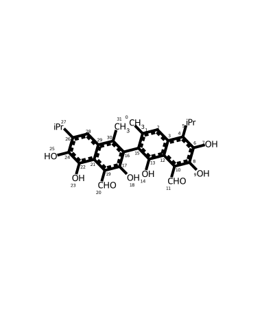 Cc1cc2c(C(C)C)c(O)c(O)c(C=O)c2c(O)c1-c1c(O)c(C=O)c2c(O)c(O)c(C(C)C)cc2c1C